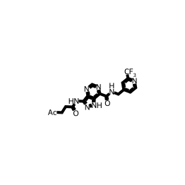 CC(=O)CCC(=O)Nc1n[nH]c2c(C(=O)NCc3ccnc(C(F)(F)F)c3)ncnc12